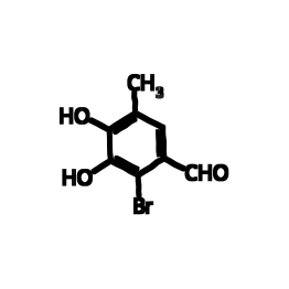 Cc1cc(C=O)c(Br)c(O)c1O